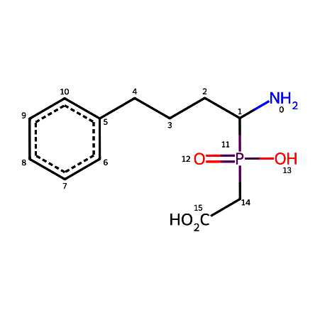 NC(CCCc1ccccc1)P(=O)(O)CC(=O)O